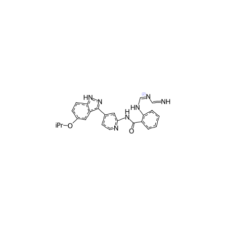 CC(C)Oc1ccc2[nH]nc(-c3ccnc(NC(=O)c4ccccc4N/C=N\C=N)c3)c2c1